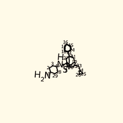 N[C@H]1CC[C@H](NC(=S)C23CC4CC(c5ccccc5)(CC(C2)C4CC2CC2)C3)CC1